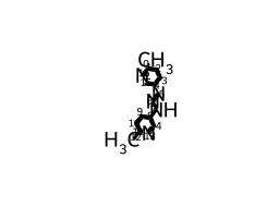 Cc1ccc(N=NNc2ccc(C)nc2)cn1